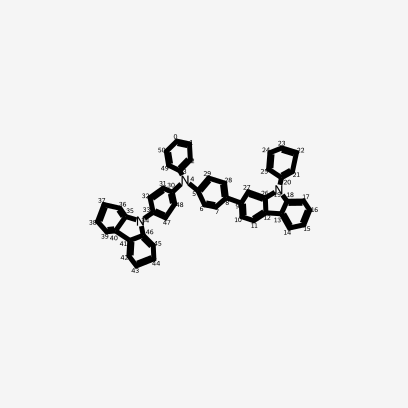 c1ccc(N(c2ccc(-c3ccc4c5ccccc5n(-c5ccccc5)c4c3)cc2)c2ccc(-n3c4ccccc4c4ccccc43)cc2)cc1